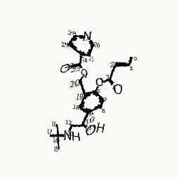 CC=CC(=O)Oc1ccc(C(O)CNC(C)(C)C)cc1COC(=O)c1ccncc1